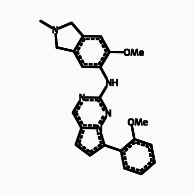 COc1cc2c(cc1Nc1ncc3ccc(-c4ccccc4OC)n3n1)CN(C)C2